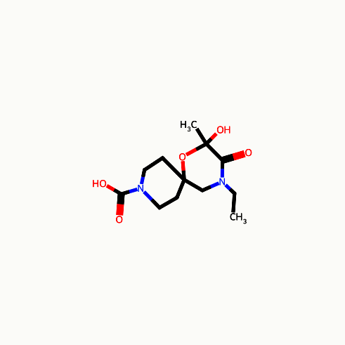 CCN1CC2(CCN(C(=O)O)CC2)OC(C)(O)C1=O